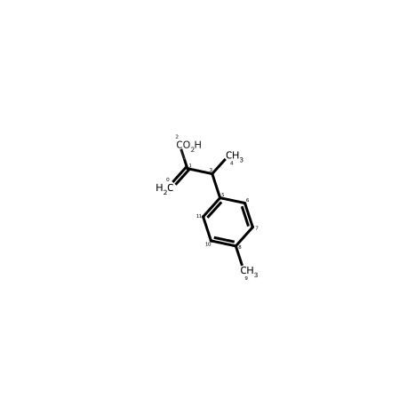 C=C(C(=O)O)C(C)c1ccc(C)cc1